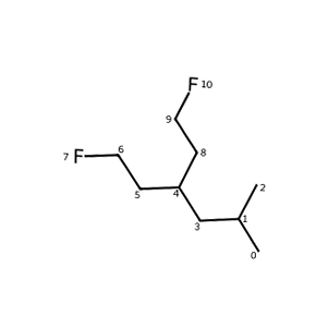 CC(C)CC(CCF)CCF